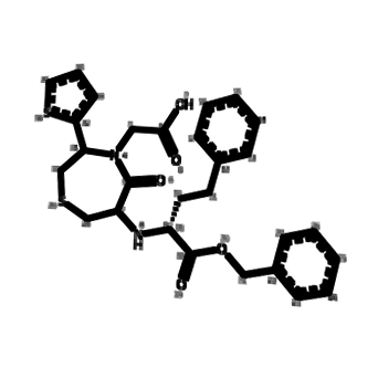 O=C(O)CN1C(=O)C(N[C@H](CCc2ccccc2)C(=O)OCc2ccccc2)CSCC1c1cccs1